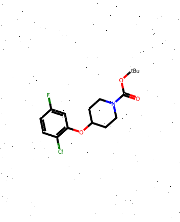 CC(C)(C)OC(=O)N1CCC(Oc2cc(F)ccc2Cl)CC1